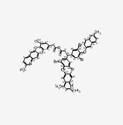 Cc1ccc2cc(Oc3c(Cl)cc(CC(=O)OC(=O)CC(c4cc(Br)c(Oc5ccc6nc(C)ccc6c5)c(Br)c4)c4cc(Br)c(Oc5ccc6nc(C)cc(C)c6c5)c(Br)c4)cc3Cl)ccc2n1